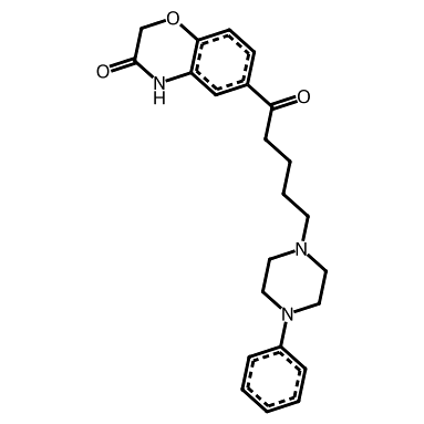 O=C1COc2ccc(C(=O)CCCCN3CCN(c4ccccc4)CC3)cc2N1